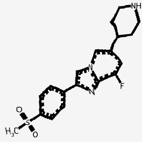 CS(=O)(=O)c1ccc(-c2cn3cc(C4CCNCC4)cc(F)c3n2)cc1